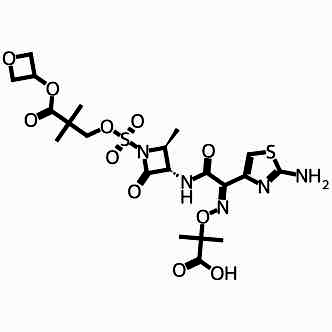 C[C@H]1[C@H](NC(=O)C(=NOC(C)(C)C(=O)O)c2csc(N)n2)C(=O)N1S(=O)(=O)OCC(C)(C)C(=O)OC1COC1